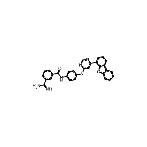 N=C(N)c1cccc(C(=O)Nc2ccc(Nc3cc(-c4cccc5c4oc4ccccc45)ncn3)cc2)c1